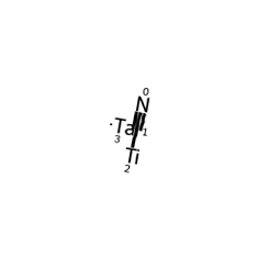 N#[C][Ti].[Ta]